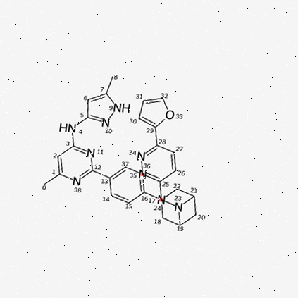 Cc1cc(Nc2cc(C)[nH]n2)nc(-c2ccc(N3CC4CC(C3)N4Cc3ccc(-c4ccco4)nc3)nc2)n1